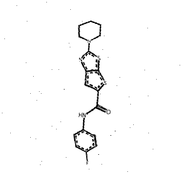 O=C(Nc1ccc(F)cc1)c1cc2nc(N3CCCCC3)sc2s1